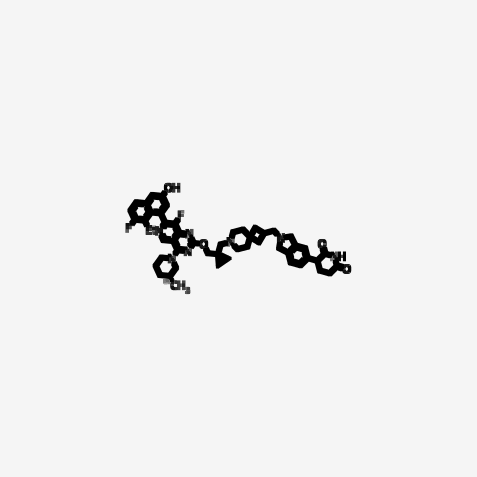 CCc1c(F)ccc2cc(O)cc(-c3ncc4c(N5CCC[C@H](C)C5)nc(OCC5(CN6CCC7(CC6)CC(CN6Cc8ccc(C9CCC(=O)NC9=O)cc8C6)C7)CC5)nc4c3F)c12